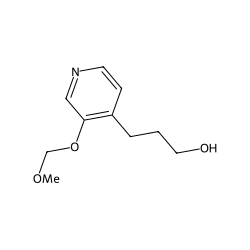 COCOc1cnccc1CCCO